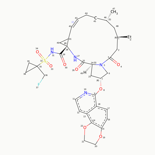 CC[C@H]1CC(=O)N2C[C@H](Oc3nccc4c5c(ccc34)OCCO5)C[C@H]2C(=O)N[C@]2(C(=O)NS(=O)(=O)C3(CF)CC3)CC2/C=C\CC[C@H](C)C1